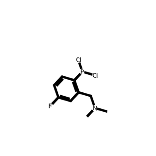 CN(C)Cc1cc(F)ccc1P(Cl)Cl